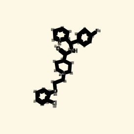 O=C(NC(c1ccc(F)cc1)c1ccccn1)C1CCN(CCOc2ccccc2Cl)CC1